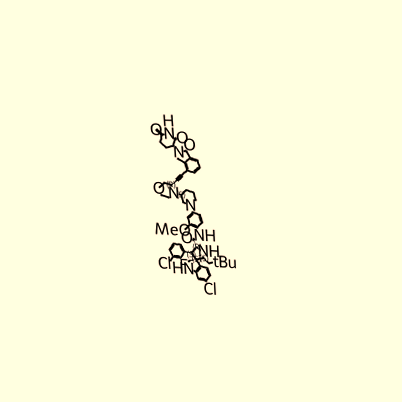 COc1cc(N2CCC[C@H](N3CCOC[C@H]3C#Cc3cccc4c3CN(C3CCC(=O)NC3=O)C4=O)C2)ccc1NC(=O)[C@@H]1N[C@@H](CC(C)(C)C)[C@@]2(CNc3cc(Cl)ccc32)[C@H]1c1cccc(Cl)c1F